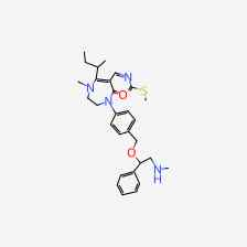 C=C(/N=C\C1=C(C(C)CC)N(C)CCN(c2ccc(COC(CNC)c3ccccc3)cc2)C1=O)SC